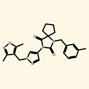 Cc1cccc(CN2C(=O)N(c3cnn(Cc4c(C)noc4C)c3)C(=O)C23CCCC3)c1